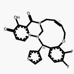 O=C1c2c(O)c(=O)ccn2N2CN1C/C=C\COc1c(ccc(F)c1F)[C@H]2c1ccsc1